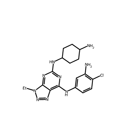 CCn1nnc2c(Nc3ccc(Cl)c(N)c3)nc(NC3CCC(N)CC3)nc21